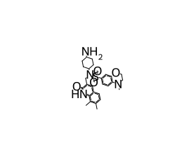 Cc1ccc2cc(CN(C3CCC(N)CC3)S(=O)(=O)c3ccc4c(c3)OCCN4C)c(=O)[nH]c2c1C